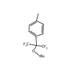 Cc1ccc(C(OC(C)(C)C)(C(F)(F)F)C(F)(F)F)cc1